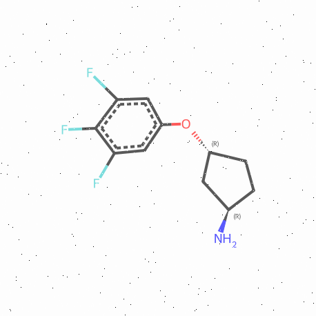 N[C@@H]1CC[C@@H](Oc2cc(F)c(F)c(F)c2)C1